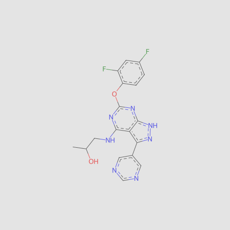 CC(O)CNc1nc(Oc2ccc(F)cc2F)nc2[nH]nc(-c3cncnc3)c12